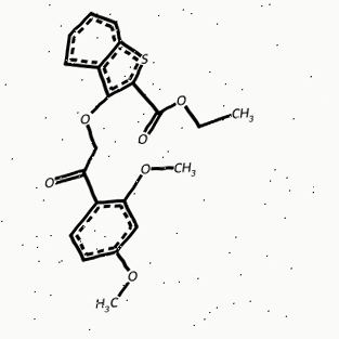 CCOC(=O)c1sc2ccccc2c1OCC(=O)c1ccc(OC)cc1OC